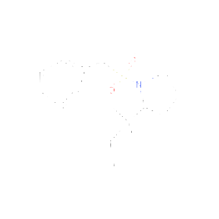 CCC(C)(C)C1CCCN1S(=O)(=O)Cc1ccccc1